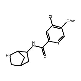 COc1cnc(C(=O)NC2CC3CNC2C3)cc1Cl